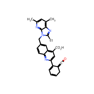 CCc1nc2c(C)cc(C)nc2n1Cc1ccc2nc(C3=CC=CCC3=C=O)cc(C(=O)O)c2c1